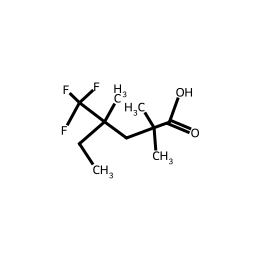 CCC(C)(CC(C)(C)C(=O)O)C(F)(F)F